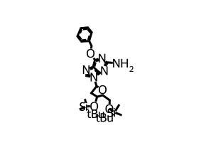 CC(C)(C)[Si](C)(C)OCC1OC(n2cnc3c(OCc4ccccc4)nc(N)nc32)CC1O[Si](C)(C)C(C)(C)C